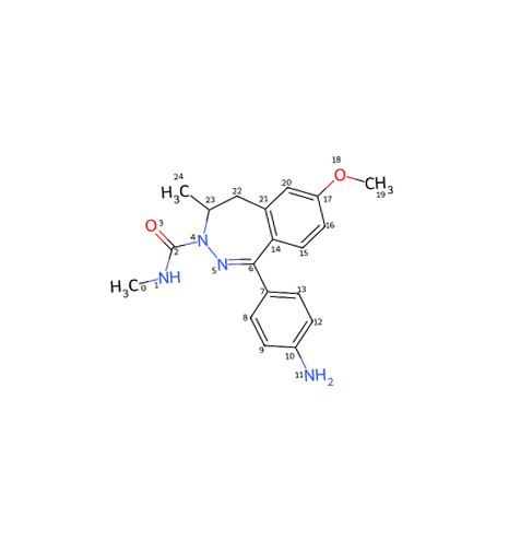 CNC(=O)N1N=C(c2ccc(N)cc2)c2ccc(OC)cc2CC1C